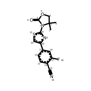 CC1(C)COC(=O)N1c1nc(-c2ccc(C#N)c(F)c2)cs1